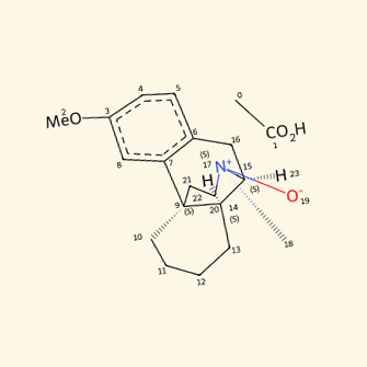 CC(=O)O.COc1ccc2c(c1)[C@]13CCCC[C@@H]1[C@H](C2)[N@@+](C)([O-])CC3